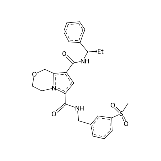 CC[C@@H](NC(=O)c1cc(C(=O)NCc2cccc(S(C)(=O)=O)c2)n2c1COCC2)c1ccccc1